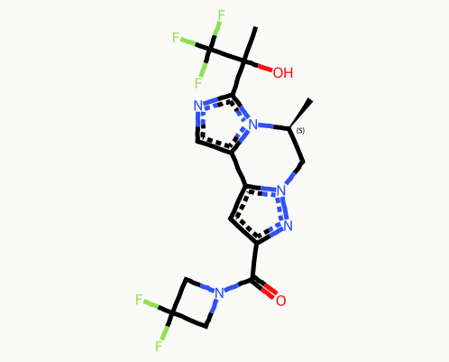 C[C@H]1Cn2nc(C(=O)N3CC(F)(F)C3)cc2-c2cnc(C(C)(O)C(F)(F)F)n21